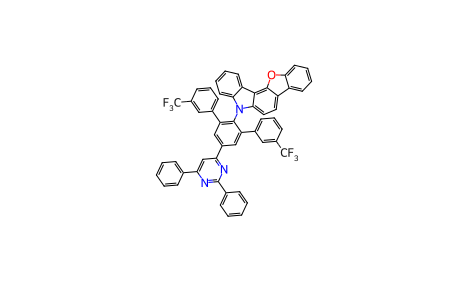 FC(F)(F)c1cccc(-c2cc(-c3cc(-c4ccccc4)nc(-c4ccccc4)n3)cc(-c3cccc(C(F)(F)F)c3)c2-n2c3ccccc3c3c4oc5ccccc5c4ccc32)c1